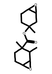 CC1C2OC2CCC1(C)C(=O)OC1(C)CCC2OC2C1